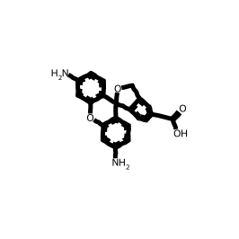 Nc1ccc2c(c1)Oc1cc(N)ccc1C21OCc2cc(C(=O)O)ccc21